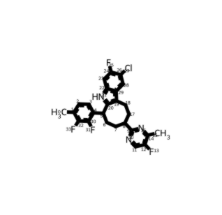 Cc1ccc(C2CCC(c3ncc(F)c(C)n3)CCc3c2[nH]c2cc(F)c(Cl)cc32)c(F)c1F